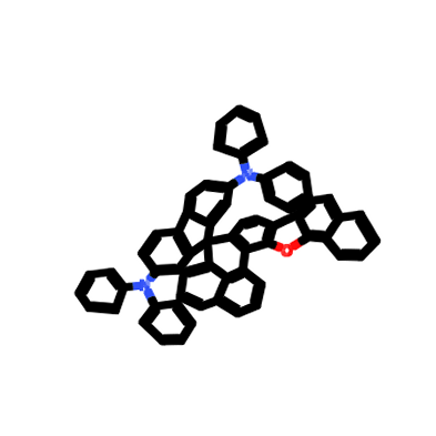 c1ccc(N(c2ccccc2)c2ccc3c(c2)C2(c4cc(N(c5ccccc5)c5ccccc5)ccc4-3)c3ccc4c(oc5c6ccccc6ccc45)c3-c3cccc4cccc2c34)cc1